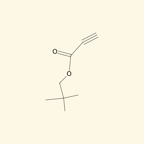 C#CC(=O)OCC(C)(C)C